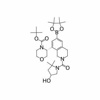 CC(C)(C)OC(=O)N1CCOC[C@H]1c1cc(B2OC(C)(C)C(C)(C)O2)cc2c1CN(C(=O)N1CC(O)CC1(C)C)CC2